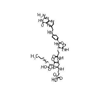 CCCSSC[C@H](NC(=O)[C@H](CC(=O)NCCS(=O)(=O)O)NC(=O)CC[C@H](NC(=O)c1ccc(NCc2cnc3nc(N)[nH]c(=O)c3n2)cc1)C(=O)O)C(=O)O